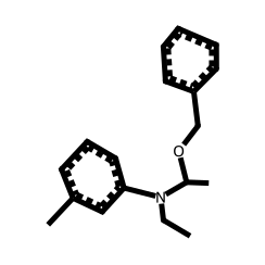 CCN(c1cccc(C)c1)C(C)OCc1ccccc1